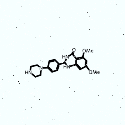 COc1cc2c(c(OC)c1)C(=O)NC(c1ccc(N3CCNCC3)cc1)N2